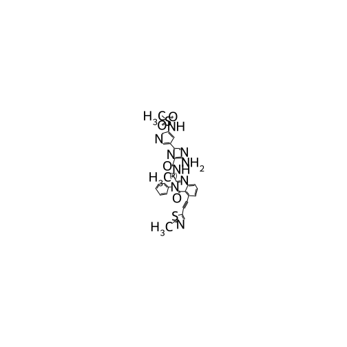 Cc1ncc(C#Cc2cccc3nc([C@@H](C)NC(=O)c4nc(-c5cncc(NS(C)(=O)=O)c5)cnc4N)n(-c4ccccc4)c(=O)c23)s1